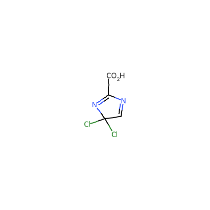 O=C(O)C1=NC(Cl)(Cl)C=N1